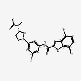 CC(=O)N(C)[C@H]1CCN(c2cc(F)cc(NC(=O)c3cc4c(F)ccc(C)c4[nH]3)c2)C1